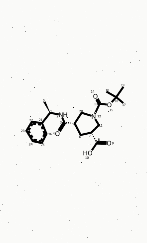 C[C@@H](NC(=O)[C@H]1C[C@@H](C(=O)O)CN(C(=O)OC(C)(C)C)C1)c1ccccc1